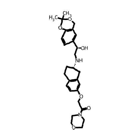 CC1(C)OCc2cc([C@@H](O)CN[C@H]3CCc4ccc(OCC(=O)N5CCOCC5)cc4C3)ccc2O1